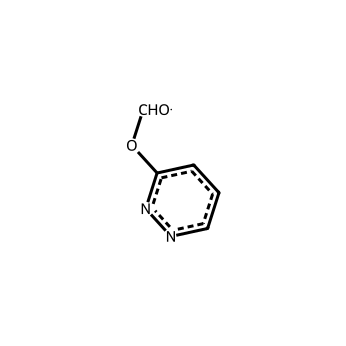 O=[C]Oc1cccnn1